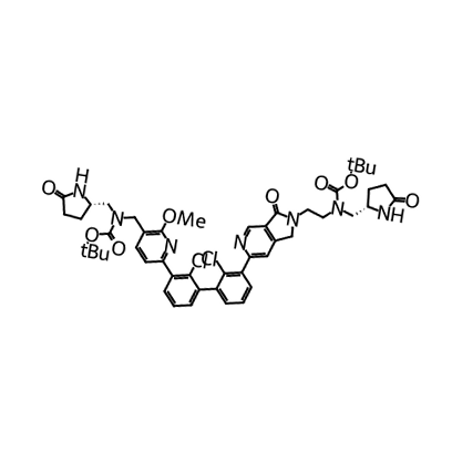 COc1nc(-c2cccc(-c3cccc(-c4cc5c(cn4)C(=O)N(CCN(C[C@@H]4CCC(=O)N4)C(=O)OC(C)(C)C)C5)c3Cl)c2Cl)ccc1CN(C[C@@H]1CCC(=O)N1)C(=O)OC(C)(C)C